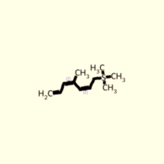 C=C/C=C(C)\C=C/CS(C)(C)C